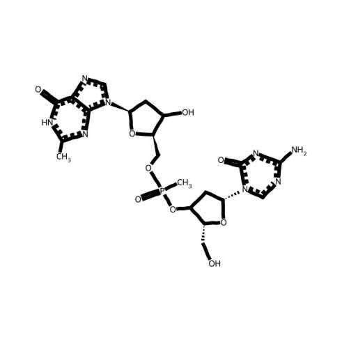 Cc1nc2c(ncn2[C@H]2CC(O)[C@@H](COP(C)(=O)OC3C[C@H](n4cnc(N)nc4=O)O[C@@H]3CO)O2)c(=O)[nH]1